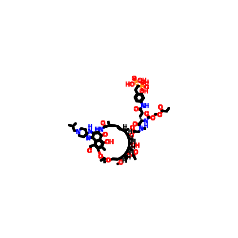 CCC(=O)OCOC(=O)N[C@@H](CCC(=O)Nc1ccc(CC(P(=O)(O)O)P(=O)(O)O)cc1)C(=O)N(C)CC(=O)O[C@@H]1[C@@H](C)[C@@H](O)[C@@H](C)[C@H](OC(C)=O)[C@H](C)[C@@H](OC)/C=C/OC(C)(C)Oc2c(C)c(O)c3c(c2C=O)C2=NC4(CCN(CC(C)C)CC4)NC2=C(NC(=O)/C(C)=C\C=C\[C@@H]1C)C3=O